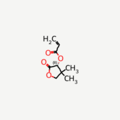 C=CC(=O)O[C@H]1C(=O)OCC1(C)C